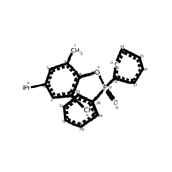 Cc1cc(C(C)C)cc(C)c1OP(=O)(c1ccccc1)c1ccccc1